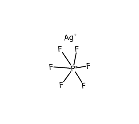 F[P-](F)(F)(F)(F)F.[Ag+]